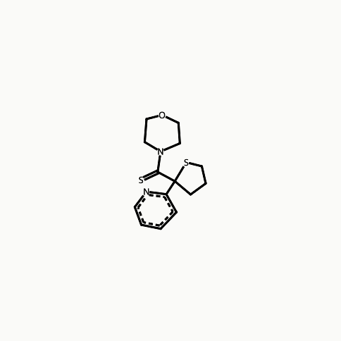 S=C(N1CCOCC1)C1(c2ccccn2)CCCS1